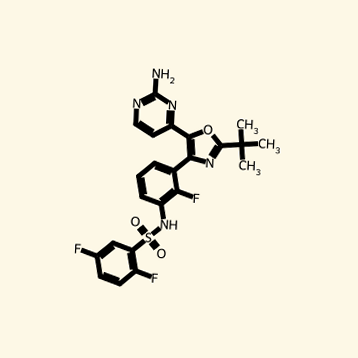 CC(C)(C)c1nc(-c2cccc(NS(=O)(=O)c3cc(F)ccc3F)c2F)c(-c2ccnc(N)n2)o1